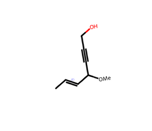 C/C=C/C(C#CCO)OC